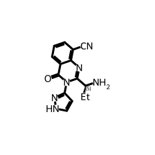 CC[C@H](N)c1nc2c(C#N)cccc2c(=O)n1-c1cc[nH]n1